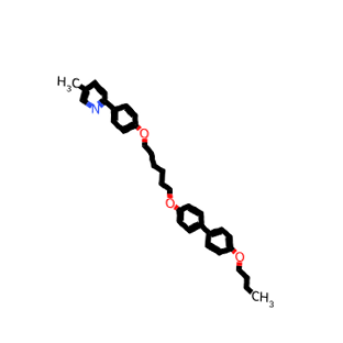 CCCCOc1ccc(-c2ccc(OCCCCCCOc3ccc(-c4ccc(C)cn4)cc3)cc2)cc1